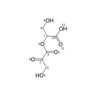 O=C(CO)C(=O)OC(CO)C(=O)O